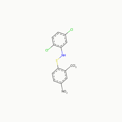 O=[N+]([O-])c1ccc(SNc2cc(Cl)ccc2Cl)c(C(Cl)(Cl)Cl)c1